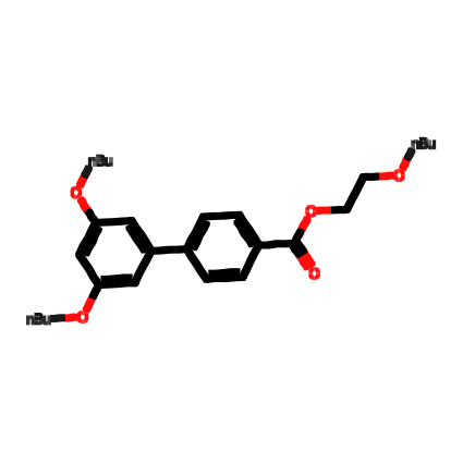 CCCCOCCOC(=O)c1ccc(-c2cc(OCCCC)cc(OCCCC)c2)cc1